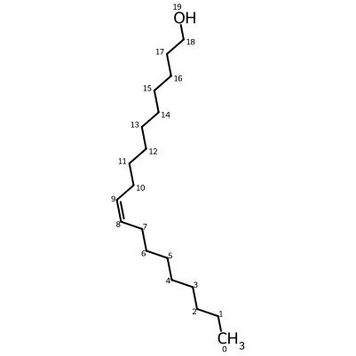 CCCCCCCC/C=C\CCCCCCCCCO